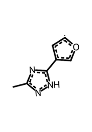 Cc1n[nH]c(-c2c[c]oc2)n1